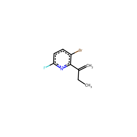 C=C(CC)c1nc(F)ccc1Br